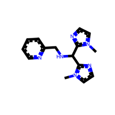 Cn1ccnc1C(NCc1ccccn1)c1nccn1C